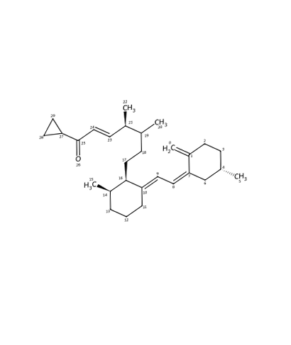 C=C1CC[C@H](C)C/C1=C/C=C1\CCC[C@@H](C)[C@H]1CCC(C)[C@H](C)/C=C/C(=O)C1CC1